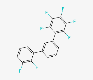 Fc1cccc(-c2cccc(-c3c(F)c(F)c(F)c(F)c3F)c2)c1F